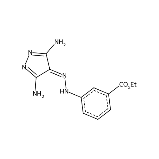 CCOC(=O)c1cccc(NN=C2C(N)=NN=C2N)c1